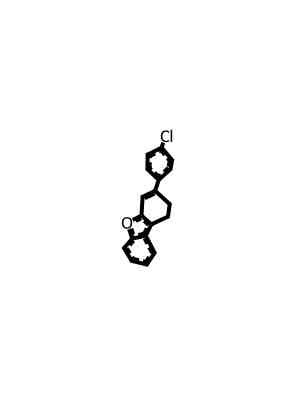 Clc1ccc(C2=Cc3oc4ccccc4c3CC2)cc1